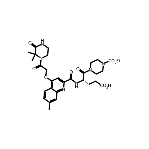 CCOC(=O)N1CCN(C(=O)[C@H](CCC(=O)O)NC(=O)c2cc(OCC(=O)N3CCNC(=O)C3(C)C)c3ccc(C)cc3n2)CC1